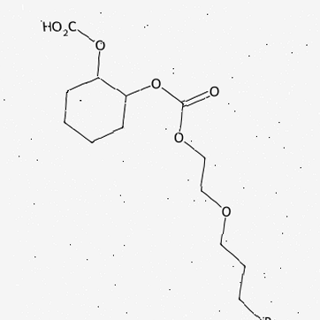 CC(C)CCCOCCOC(=O)OC1CCCCC1OC(=O)O